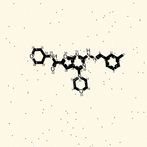 Cc1cccc(/C=N/Nc2nc(N3CCOCC3)c3cc(C(=O)NC4CCOCC4)oc3n2)c1